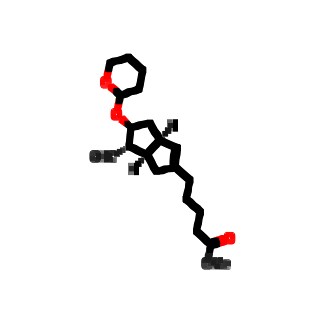 COC(=O)CCCCC1=C[C@@H]2C[C@H](OC3CCCCO3)[C@@H](C=O)[C@@H]2C1